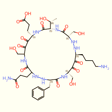 C[C@@H](O)[C@@H]1NC(=O)[C@H](CO)NN[C@@H](CCCCN)C(=O)C(=O)[C@H](CO)NC(=O)[C@H](Cc2ccccc2)NNC(CCC(N)=O)C(=O)NC(CO)C(=O)C(=O)[C@H](CCC(=O)O)NC1=O